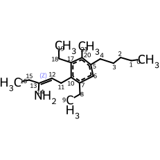 CCCCCc1cc(CC)c(C/C=C(\N)CC)c(CC)c1C